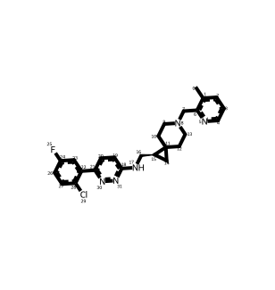 Cc1cccnc1CN1CCC2(CC1)C[C@H]2CNc1ccc(-c2cc(F)ccc2Cl)nn1